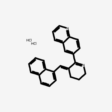 C(=C1CCCN=C1c1ccc2ncccc2c1)c1cccc2ccccc12.Cl.Cl